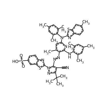 Cc1cc(C)c(Nc2nc(N(c3nc4ccc(C)cc4s3)c3c(C)cc(C)cc3C)cc(C)c2N=Nc2c(C#N)c(C(C)(C)C)nn2-c2nc3ccc(S(=O)(=O)O)cc3s2)c(C)c1